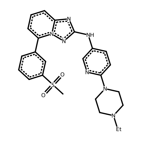 CCN1CCN(c2ccc(Nc3nc4cccc(-c5cccc(S(C)(=O)=O)c5)n4n3)cn2)CC1